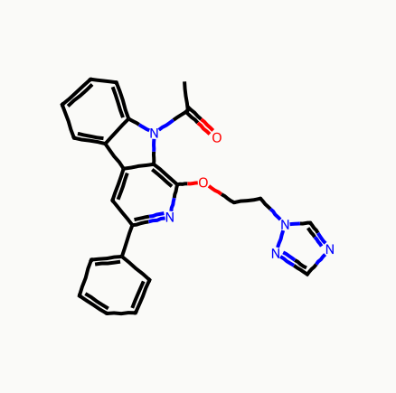 CC(=O)n1c2ccccc2c2cc(-c3ccccc3)nc(OCCn3cncn3)c21